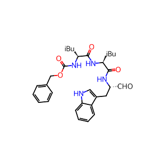 CCC(C)[C@H](NC(=O)OCc1ccccc1)C(=O)N[C@H](C(=O)N[C@H](C=O)Cc1c[nH]c2ccccc12)C(C)CC